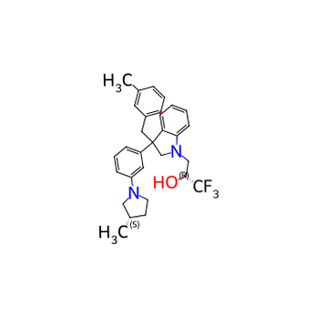 Cc1cccc(CC2(c3cccc(N4CC[C@H](C)C4)c3)CN(C[C@@H](O)C(F)(F)F)c3ccccc32)c1